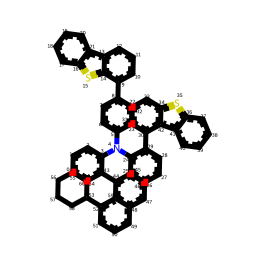 c1ccc(N(c2ccc(-c3cccc4c3sc3ccccc34)cc2)c2ccccc2-c2cccc3sc4ccccc4c23)c(-c2cccc3cccc(C4CCCCC4)c23)c1